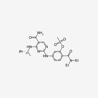 CCN(CC)C(=O)c1ccc(Nc2ncc(C(N)=O)c(N[C@H](C)C(C)C)n2)cc1OS(C)(=O)=O